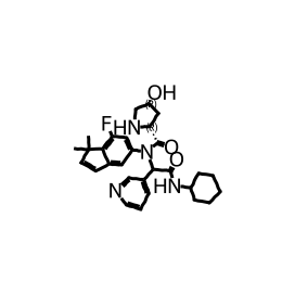 CC1(C)C=Cc2cc(N(C(=O)[C@H]3C[C@@H](O)CN3)C(C(=O)NC3CCCCC3)c3cccnc3)cc(F)c21